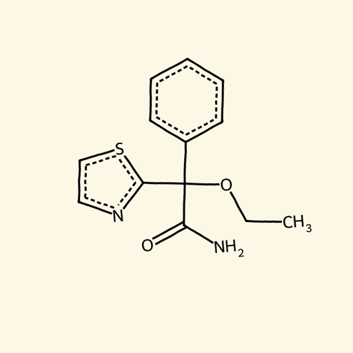 CCOC(C(N)=O)(c1ccccc1)c1nccs1